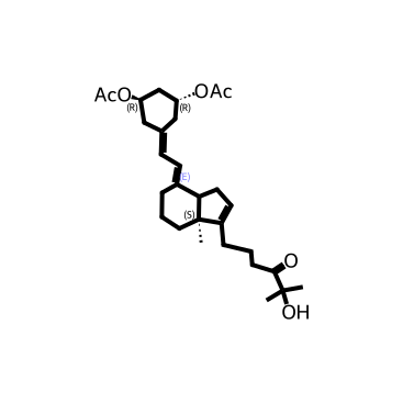 CC(=O)O[C@@H]1CC(=C/C=C2\CCC[C@]3(C)C(CCCC(=O)C(C)(C)O)=CCC23)C[C@@H](OC(C)=O)C1